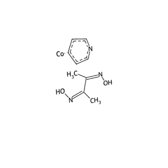 CC(=N/O)/C(C)=N\O.[Co].c1ccncc1